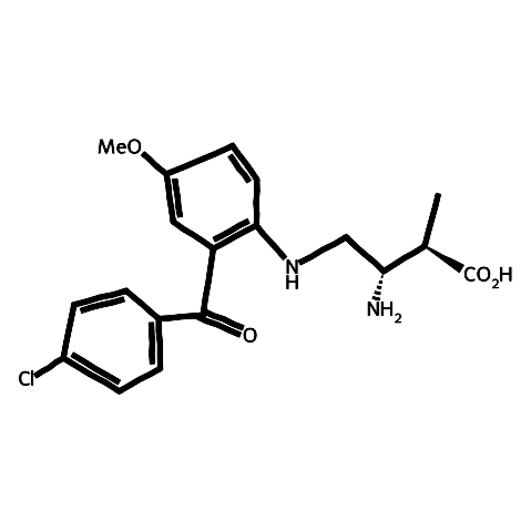 COc1ccc(NC[C@@H](N)[C@@H](C)C(=O)O)c(C(=O)c2ccc(Cl)cc2)c1